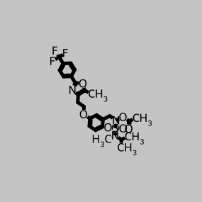 CC(=O)ON(Cc1cccc(OCCc2nc(-c3ccc(C(F)(F)F)cc3)oc2C)c1)S(=O)(=O)N(C)C(C)C